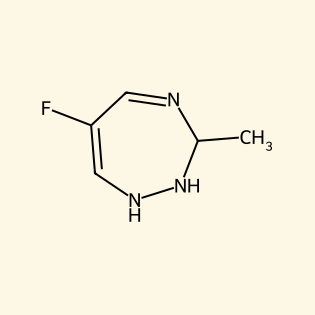 CC1N=CC(F)=CNN1